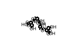 Cc1ccc(NC(=O)Nc2ccc(C)c(C(=O)Nc3ccc(S(=O)(=O)O)c4cc(O)ccc34)c2)cc1C(=O)Nc1ccc(S(=O)(=O)O)c2cc(O)ccc12